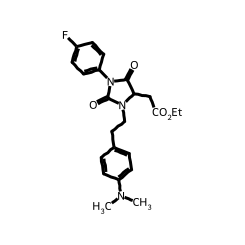 CCOC(=O)CC1C(=O)N(c2ccc(F)cc2)C(=O)N1CCc1ccc(N(C)C)cc1